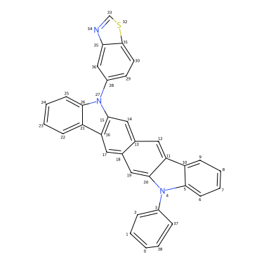 c1ccc(-n2c3ccccc3c3cc4cc5c(cc4cc32)c2ccccc2n5-c2ccc3scnc3c2)cc1